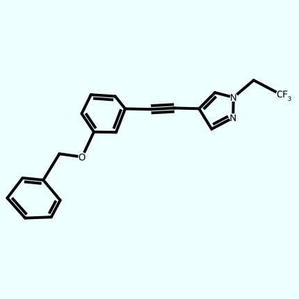 FC(F)(F)Cn1cc(C#Cc2cccc(OCc3ccccc3)c2)cn1